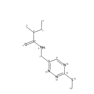 CCC(C)C(=O)NCc1cnc(SC)nn1